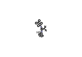 CC1(C)CCN2CCC(C)(C)c3c(O)c(/C=C/C4=CC(=C(C#N)C#N)C=C(/C=C/c5c6ccccc6c(N(c6ccccc6)c6ccccc6)c6ccccc56)O4)cc1c32